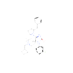 C[C@H]1C[C@]2(CCN1CC1CCC1)C(N1CCCC1CC1C=CC=CC1)=NC(=O)N2c1cccc(F)c1